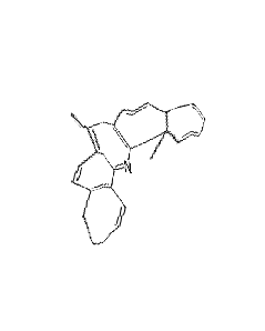 Cc1c2c(nc3c4c(ccc13)CCC=C4)C1(C)C=CC=CC1C=C2